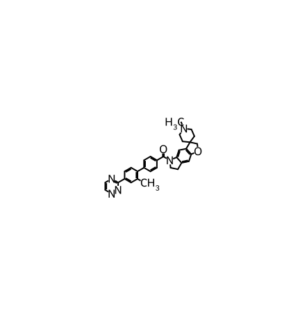 Cc1cc(-c2nccnn2)ccc1-c1ccc(C(=O)N2CCc3cc4c(cc32)C2(CCN(C)CC2)CO4)cc1